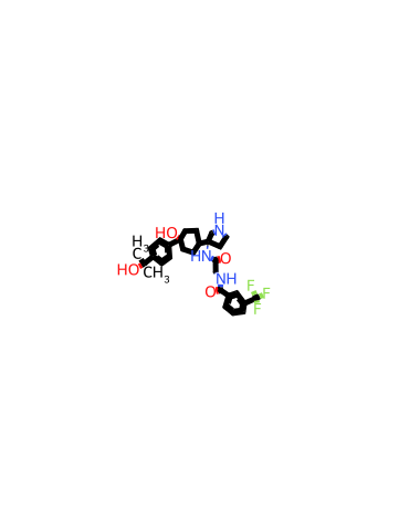 CC(C)(O)c1ccc(C2(O)CCC([C@]3(NC(=O)CNC(=O)c4cccc(C(F)(F)F)c4)CCNC3)CC2)cc1